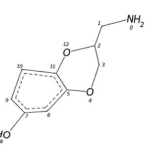 NCC1COc2cc(O)ccc2O1